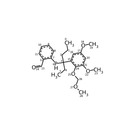 CCCC(CC)(Pc1ccccc1C=O)c1cc(OC)cc(OC)c1OCOC